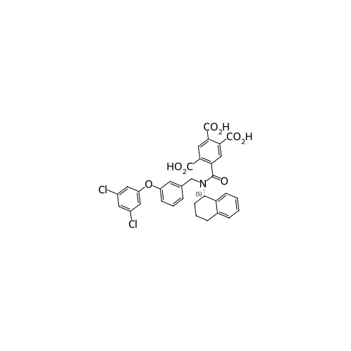 O=C(O)c1cc(C(=O)O)c(C(=O)N(Cc2cccc(Oc3cc(Cl)cc(Cl)c3)c2)[C@H]2CCCc3ccccc32)cc1C(=O)O